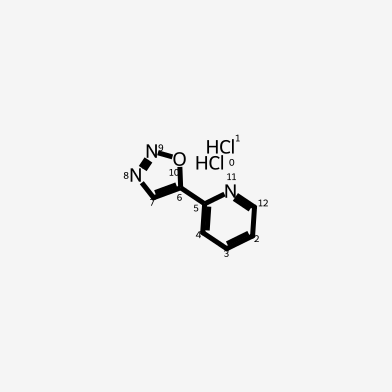 Cl.Cl.c1ccc(-c2cnno2)nc1